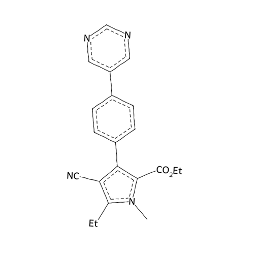 CCOC(=O)c1c(-c2ccc(-c3cncnc3)cc2)c(C#N)c(CC)n1C